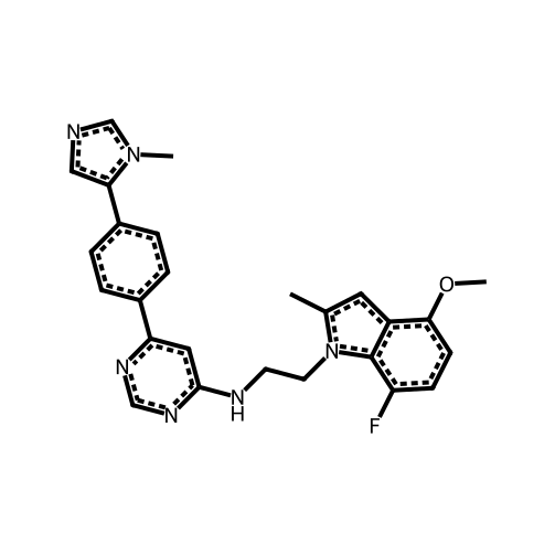 COc1ccc(F)c2c1cc(C)n2CCNc1cc(-c2ccc(-c3cncn3C)cc2)ncn1